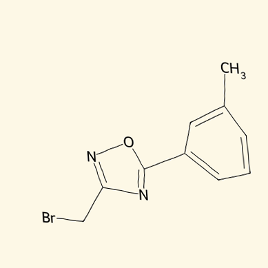 Cc1cccc(-c2nc(CBr)no2)c1